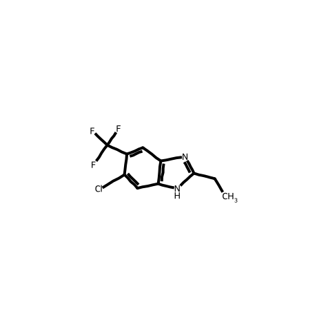 CCc1nc2cc(C(F)(F)F)c(Cl)cc2[nH]1